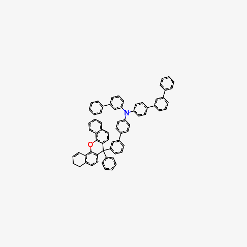 C1=Cc2c(ccc3c2Oc2c(ccc4ccccc24)C3(c2ccccc2)c2cccc(-c3ccc(N(c4ccc(-c5cccc(-c6ccccc6)c5)cc4)c4cccc(-c5ccccc5)c4)cc3)c2)CC1